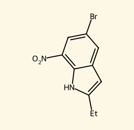 [CH2]Cc1cc2cc(Br)cc([N+](=O)[O-])c2[nH]1